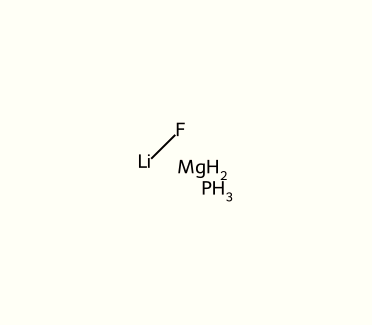 P.[Li][F].[MgH2]